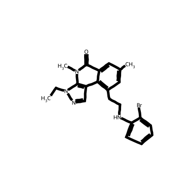 CCn1ncc2c3c(CCNc4ccccc4Br)cc(C)cc3c(=O)n(C)c21